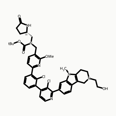 COc1nc(-c2cccc(-c3ccnc(-c4ccc5c6c(n(C)c5c4)CCN(CCO)C6)c3Cl)c2Cl)ccc1CN(C[C@@H]1CCC(=O)N1)C(=O)OC(C)(C)C